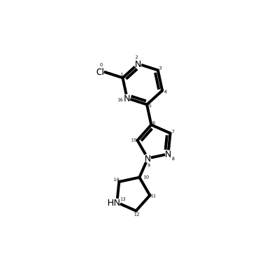 Clc1nccc(-c2cnn(C3CCNC3)c2)n1